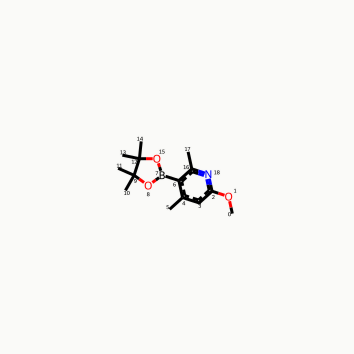 COc1cc(C)c(B2OC(C)(C)C(C)(C)O2)c(C)n1